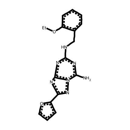 CCOc1ccccc1CNc1nc(N)n2nc(-c3ccco3)nc2n1